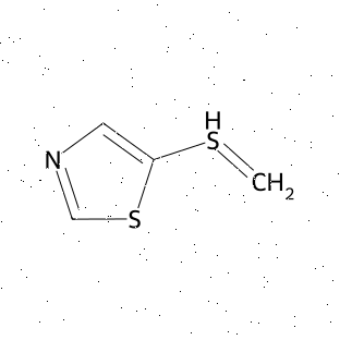 C=[SH]c1cncs1